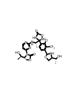 C[C@H](Nc1nccc(N2C(=O)OC[C@@H]2[C@@H](C)O)n1)C1(c2ccc(C3NC([C@@H](C)O)CO3)c(C(F)(F)F)c2Cl)NOC(=O)N1